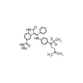 CCCCNC(=O)c1ccc2c(c1)C(=C(Nc1ccc(N(CCN(C)C)S(C)(=O)=O)cc1)c1ccccc1)C(=O)N2